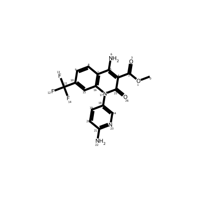 COC(=O)c1c(N)c2ccc(C(F)(F)F)cc2n(-c2ccc(N)nc2)c1=O